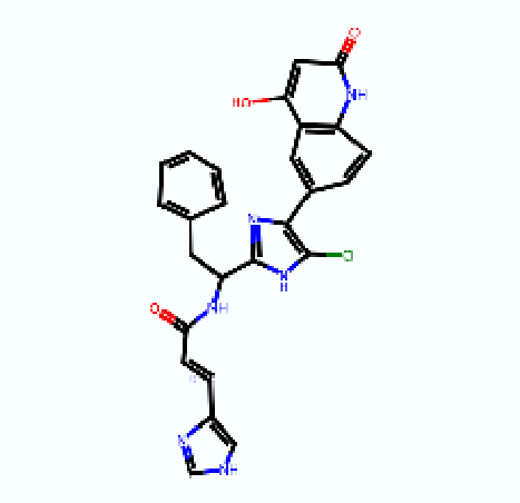 O=C(/C=C/c1c[nH]cn1)NC(Cc1ccccc1)c1nc(-c2ccc3[nH]c(=O)cc(O)c3c2)c(Cl)[nH]1